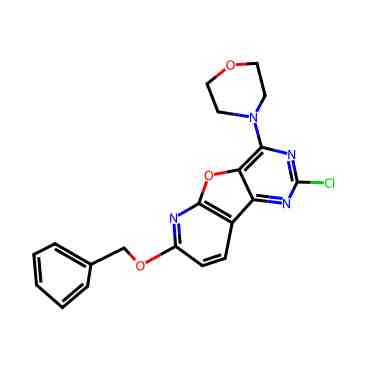 Clc1nc(N2CCOCC2)c2oc3nc(OCc4ccccc4)ccc3c2n1